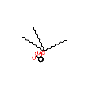 CCCCCCCCCCCC(CCCCCCCCCCC)(CCCCCCCCCCC)OC(=O)c1ccccc1C(=O)O